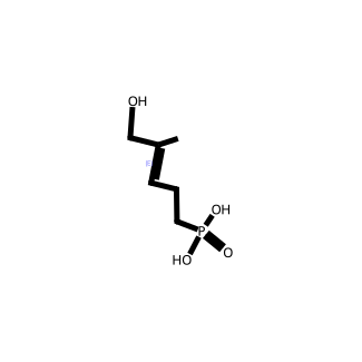 C/C(=C\CCP(=O)(O)O)CO